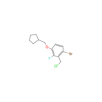 Fc1c(OCC2CCCC2)ccc(Br)c1CCl